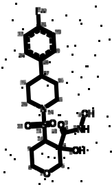 O=C(NO)C1(O)COCCC1S(=O)(=O)N1CCC(c2ccc(F)cc2)CC1